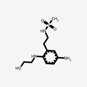 CS(=O)(=O)NCCc1cc(N)ccc1NCCO